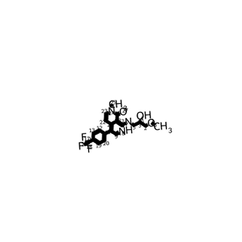 COC[C@H](O)CNc1ncc(-c2ccc(C(F)(F)F)cc2)c2ccn(C)c(=O)c12